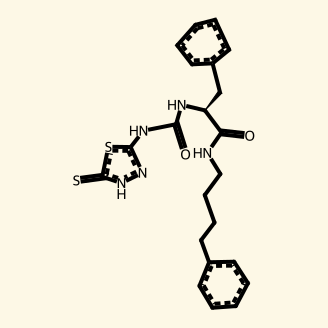 O=C(Nc1n[nH]c(=S)s1)N[C@@H](Cc1ccccc1)C(=O)NCCCCc1ccccc1